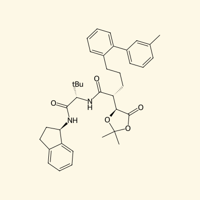 Cc1cccc(-c2ccccc2CCC[C@@H](C(=O)N[C@H](C(=O)N[C@@H]2CCc3ccccc32)C(C)(C)C)[C@@H]2OC(C)(C)OC2=O)c1